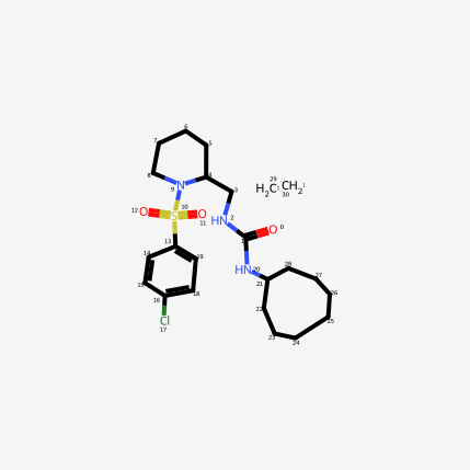 O=C(NCC1CCCCN1S(=O)(=O)c1ccc(Cl)cc1)N[C]1CCCCCCC1.[CH2].[CH2]